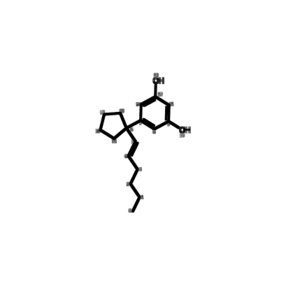 CCCCC=CC1(c2cc(O)cc(O)c2)CCCC1